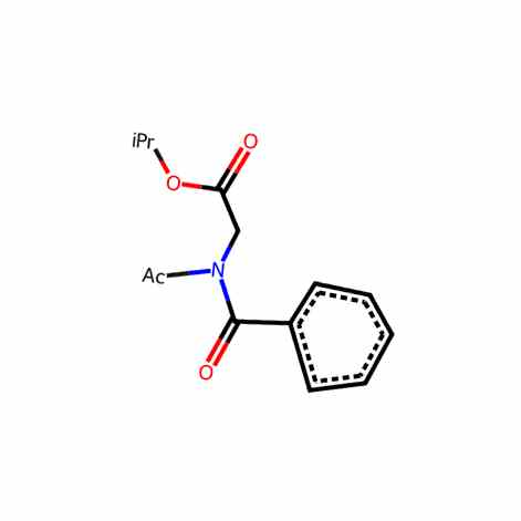 CC(=O)N(CC(=O)OC(C)C)C(=O)c1ccccc1